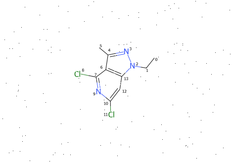 CCn1nc(C)c2c(Cl)nc(Cl)cc21